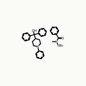 CCCCN(C)C(=O)c1ccccc1.OC(c1ccccc1)(c1ccccc1)C1CCN(c2ccccc2)CC1